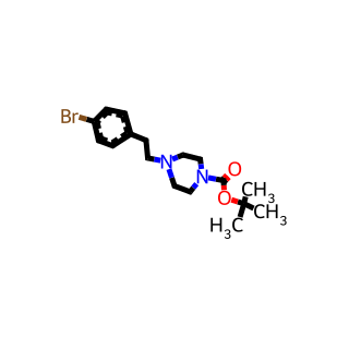 CC(C)(C)OC(=O)N1CCN(CCc2ccc(Br)cc2)CC1